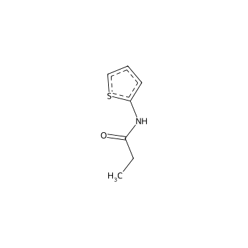 CCC(=O)Nc1cccs1